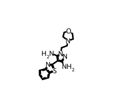 Nc1nn(CCN2CCOCC2)c(N)c1-c1nc2ccccc2s1